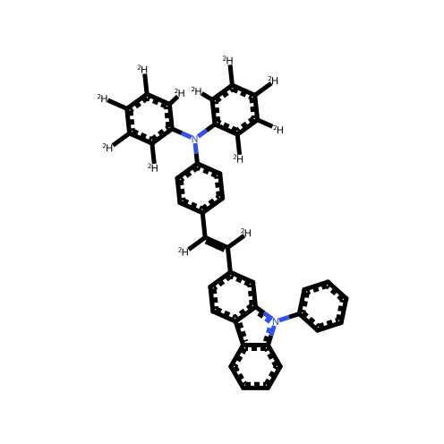 [2H]/C(=C(/[2H])c1ccc2c3ccccc3n(-c3ccccc3)c2c1)c1ccc(N(c2c([2H])c([2H])c([2H])c([2H])c2[2H])c2c([2H])c([2H])c([2H])c([2H])c2[2H])cc1